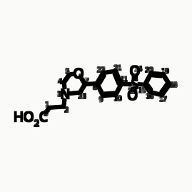 O=C(O)CCN1CCOC(c2ccc(S(=O)(=O)c3ccccc3)cc2)C1